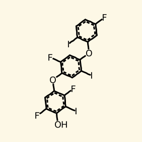 Oc1c(F)cc(Oc2cc(I)c(Oc3cc(F)ccc3I)cc2F)c(F)c1I